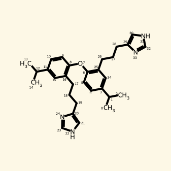 CC(C)c1ccc(Oc2ccc(C(C)C)cc2CCCc2c[nH]cn2)c(CCCc2c[nH]cn2)c1